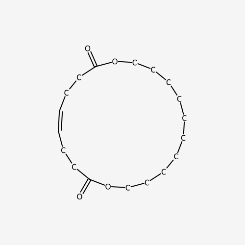 O=C1CCC=CCCC(=O)OCCCCCCCCCCO1